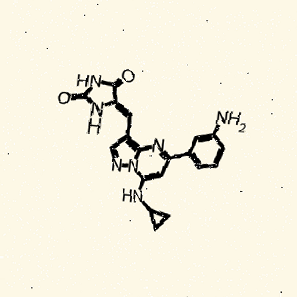 Nc1cccc(-c2cc(NC3CC3)n3ncc(/C=C4\NC(=O)NC4=O)c3n2)c1